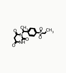 CCS(=O)(=O)c1ccc(C(C)N2C(=O)CC(=O)NC2=O)cc1